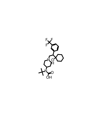 CC(C)(C)N(C(=O)O)C1CCN(CC(c2cccc(C(F)(F)F)c2)C2(O)CCCCC2)CC1